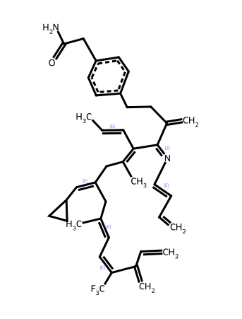 C=C/C=C/N=C(/C(=C)CCc1ccc(CC(N)=O)cc1)C(/C=C/C)=C(C)C/C(=C/C1CC1)C/C(C)=C/C=C(\C(=C)C=C)C(F)(F)F